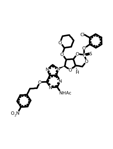 CC(=O)Nc1nc(OCCc2ccc([N+](=O)[O-])cc2)c2ncn([C@@H]3O[C@@H]4COP(=S)(Oc5ccccc5Cl)OC4C3OC3CCCCO3)c2n1